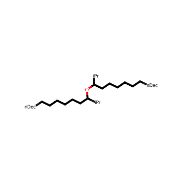 CCCCCCCCCCCCCCCCC(OC(CCCCCCCCCCCCCCCC)C(C)C)C(C)C